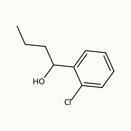 CCCC(O)c1ccccc1Cl